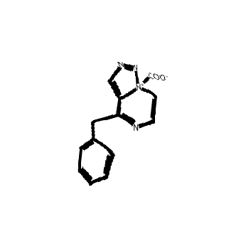 O=C([O-])[N+]12C=CN=C(Cc3ccccc3)C1=CN=N2